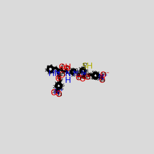 O=C(CC(O)C(CC1CCCCC1)NC(=O)OCc1ccc([N+](=O)[O-])cc1)N[C@H]1CCN(C(=O)[C@@H]2C[C@H](S)CN2C(=O)OCc2ccc([N+](=O)[O-])cc2)C1